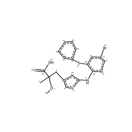 COC(C)(Cc1csc(Nc2ncc(Br)cc2Sc2ccccc2)n1)C(=O)O